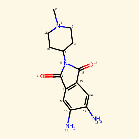 CN1CCC(N2C(=O)c3cc(N)c(N)cc3C2=O)CC1